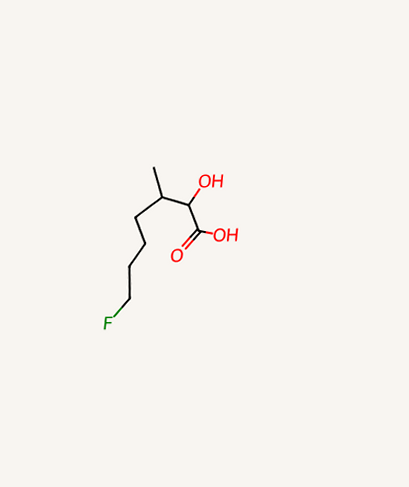 CC(CCCCF)C(O)C(=O)O